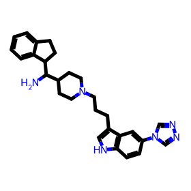 NC(C1CCN(CCCc2c[nH]c3ccc(-n4cnnc4)cc23)CC1)C1CCc2ccccc21